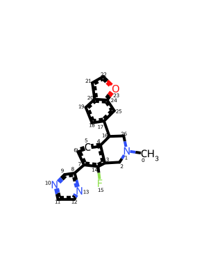 CN1Cc2c(ccc(-c3cnccn3)c2F)C(c2ccc3ccoc3c2)C1